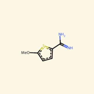 COc1ccc(C(=N)N)s1